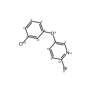 Clc1[c]ccc(Oc2ccc(Br)nc2)c1